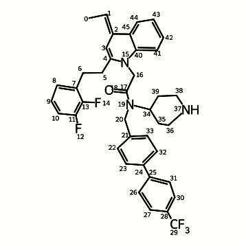 C/C=C1\C=C(CCc2cccc(F)c2F)N(CC(=O)N(Cc2ccc(-c3ccc(C(F)(F)F)cc3)cc2)C2CCNCC2)c2ccccc21